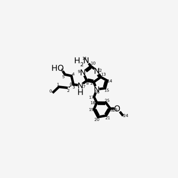 CCC[C@H](CCO)Nc1nc(N)nc2ccn(Cc3cccc(OC)c3)c12